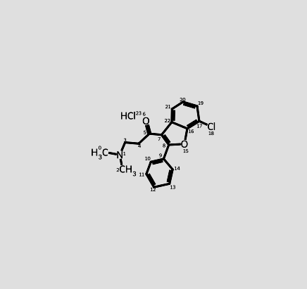 CN(C)CCC(=O)c1c(-c2ccccc2)oc2c(Cl)cccc12.Cl